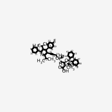 CC(C)c1nc(-c2ccccc2)c(C(C)C)c(-c2ccc(F)cc2)c1C#CCO[PH](=O)CC(CC(=O)O)O[Si](c1ccccc1)(c1ccccc1)C(C)(C)C